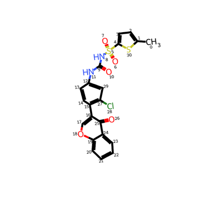 Cc1ccc(S(=O)(=O)NC(=O)Nc2ccc(-c3coc4ccccc4c3=O)c(Cl)c2)s1